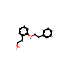 OCCc1ccccc1OCCc1ccccc1